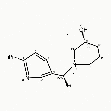 CC(C)c1ccc([C@H](C)N2CCC[C@@H](O)C2)cn1